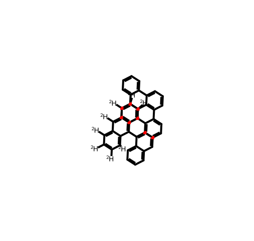 [2H]c1c([2H])c([2H])c2c(-c3cccc4ccccc34)c3c(-c4ccccc4-c4cccc5c6ccccc6c6ccccc6c45)c([2H])c([2H])c([2H])c3c([2H])c2c1[2H]